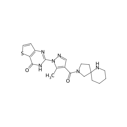 Cc1c(C(=O)N2CCC3(CCCCN3)C2)cnn1-c1nc2ccsc2c(=O)[nH]1